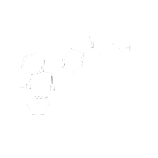 CCOC(=O)c1ccc(C2=NC3=C(CCC=C3)Nc3ccccc32)cc1